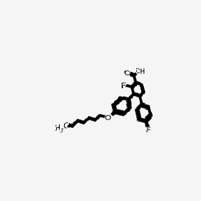 CCCCCCCOc1ccc(-c2c(-c3ccc(F)cc3)ccc(C(=O)O)c2F)cc1